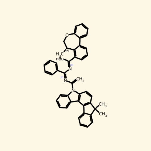 C=C(/N=C(\N=C(/CCCC)c1cccc2c1[C@@H](C)COc1ccccc1-2)c1ccccc1)n1c2ccccc2c2c3c(ccc21)C(C)(C)c1ccccc1-3